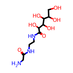 NCC(=O)NCCNC(=O)C(O)C(O)C(O)C(O)CO